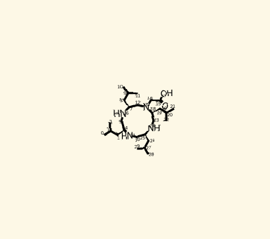 CC(C)C[C@H]1CN[C@@H](CC(C)C)CN(CC(=O)O)[C@@H](CC(C)C)CN[C@@H](CC(C)C)CN1